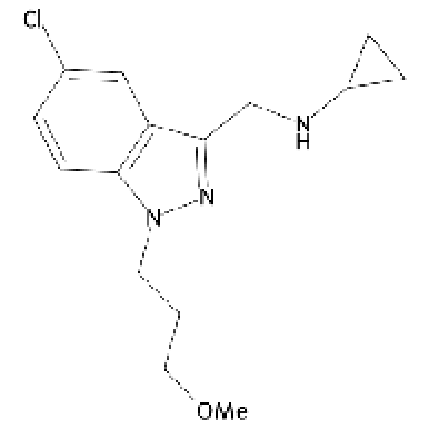 COCCCn1nc(CNC2CC2)c2cc(Cl)ccc21